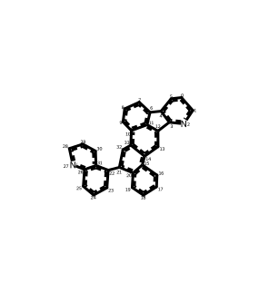 c1cnc2c(c1)-c1cccc3c1c-2cc1c2ccccc2c(-c2cccc4ncccc24)cc31